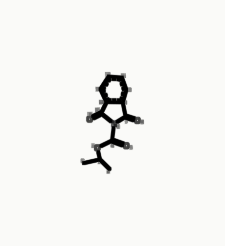 CC(C)OC(=O)N1C(=O)c2ccccc2C1=O